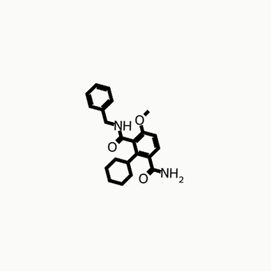 COc1ccc(C(N)=O)c(C2CCCCC2)c1C(=O)NCc1ccccc1